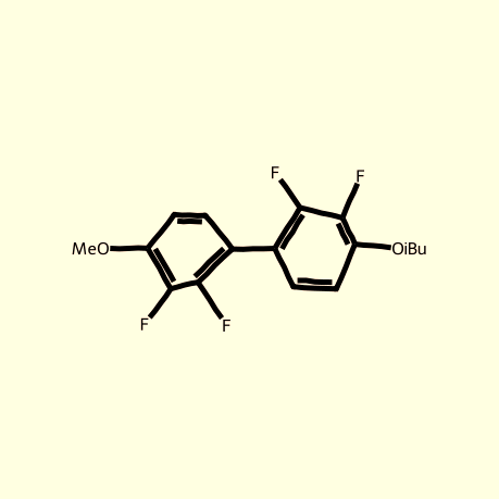 COc1ccc(-c2ccc(OCC(C)C)c(F)c2F)c(F)c1F